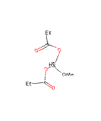 CCC(=O)O[SiH](OC)OC(=O)CC